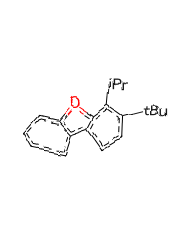 CC(C)c1c(C(C)(C)C)ccc2c1oc1ccccc12